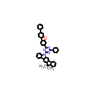 CC1(C)c2ccccc2-c2cc3c(cc21)c1ccccc1n3-c1nc(-c2ccccc2)nc(-c2ccc3c(c2)oc2cc(-c4ccccc4)ccc23)n1